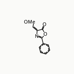 COC=C1N=C(c2ccccc2)OC1=O